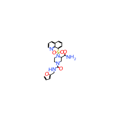 NC(=O)C1CN(C(=O)NCc2ccco2)CCN1S(=O)(=O)c1cccc2cccnc12